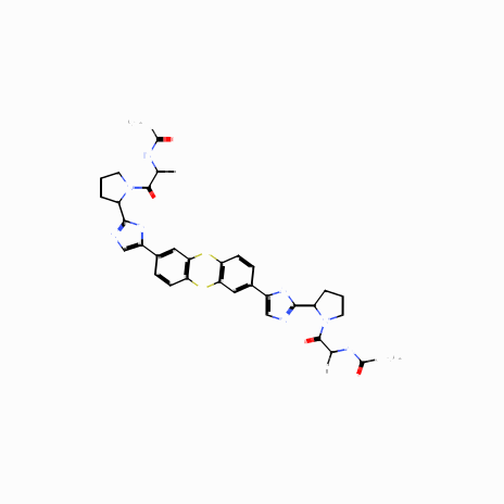 COC(=O)NC(C(=O)N1CCCC1c1ncc(-c2ccc3c(c2)Sc2ccc(-c4cnc(C5CCCN5C(=O)C(NC(=O)OC)C(C)C)[nH]4)cc2S3)[nH]1)C(C)C